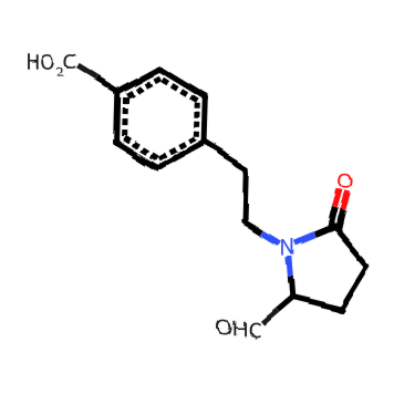 O=CC1CCC(=O)N1CCc1ccc(C(=O)O)cc1